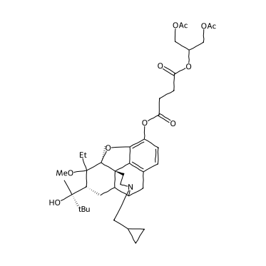 CCC1(OC)[C@@H]([C@](C)(O)C(C)(C)C)CC2C3Cc4ccc(OC(=O)CCC(=O)OC(COC(C)=O)COC(C)=O)c5c4[C@@]2(CCN3CC2CC2)[C@]1(C)O5